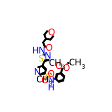 CCOC(=O)c1cccc(NS(=O)(=O)c2cc(-c3sc(NC(=O)CC4CCOCC4)nc3C)cnc2C)c1